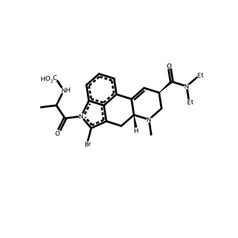 CCN(CC)C(=O)[C@@H]1C=C2c3cccc4c3c(c(Br)n4C(=O)C(C)NC(=O)O)C[C@H]2N(C)C1